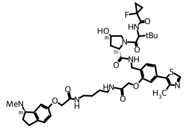 CN[C@@H]1CCc2ccc(OCC(=O)NCCCCNC(=O)COc3cc(-c4scnc4C)ccc3CNC(=O)[C@@H]3C[C@@H](O)CN3C(=O)C(NC(=O)C3(F)CC3)C(C)(C)C)cc21